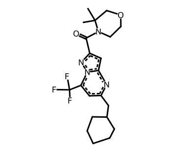 CC1(C)COCCN1C(=O)c1cc2nc(CC3CCCCC3)cc(C(F)(F)F)n2n1